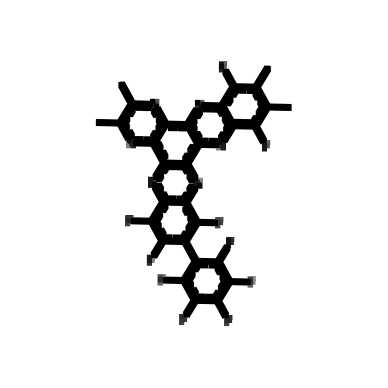 Cc1nc2c(nc1C)c1nc3c(F)c(F)c(-c4c(F)c(F)c(F)c(F)c4F)c(F)c3nc1c1nc3c(F)c(C)c(C)c(F)c3nc21